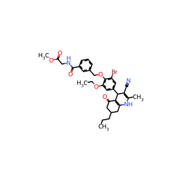 CCCC1CC(=O)C2=C(C1)NC(C)=C(C#N)C2c1cc(Br)c(OCc2cccc(C(=O)NCC(=O)OC)c2)c(OCC)c1